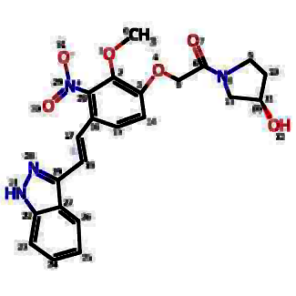 COc1c(OCC(=O)N2CC[C@@H](O)C2)ccc(/C=C/c2n[nH]c3ccccc23)c1[N+](=O)[O-]